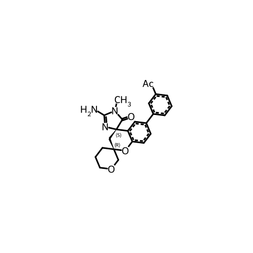 CC(=O)c1cccc(-c2ccc3c(c2)[C@]2(C[C@@]4(CCCOC4)O3)N=C(N)N(C)C2=O)c1